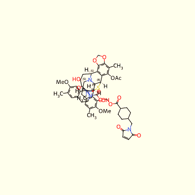 COc1cc2c(cc1C)CCN(C(=O)OCOC(=O)C1CCC(CN3C(=O)C=CC3=O)CC1)[C@]21CS[C@@H]2c3c(OC(C)=O)c(C)c4c(c3[C@H](CCC1=O)N1[C@@H]2[C@H]2c3c(cc(C)c(OC)c3O)C[C@@H]([C@@H]1O)N2C)OCO4